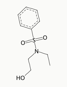 CCN(CCO)S(=O)(=O)c1ccccc1